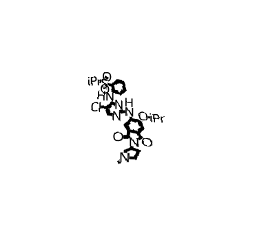 CC(C)Oc1cc2c(cc1Nc1ncc(Cl)c(Nc3ccccc3S(=O)(=O)C(C)C)n1)C(=O)N(C1CCN(C)C1)C2=O